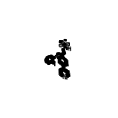 CN(C)S(=O)(=O)NCCc1cn(-c2ccccc2I)c2cc(-c3ccncc3)ccc12